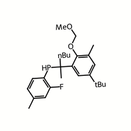 CCCCC(C)(Pc1ccc(C)cc1F)c1cc(C(C)(C)C)cc(C)c1OCOC